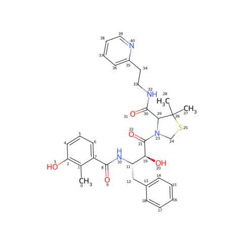 Cc1c(O)cccc1C(=O)N[C@@H](Cc1ccccc1)[C@H](O)C(=O)N1CSC(C)(C)C1C(=O)NCCc1ccccn1